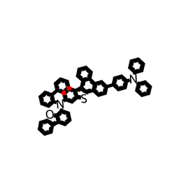 c1ccc(-c2ccccc2N(c2ccc3c(c2)sc2c4ccc(-c5ccc(N(c6ccccc6)c6ccccc6)cc5)cc4c4ccccc4c32)c2cccc3c2oc2ccccc23)cc1